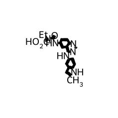 CCN(C(=O)O)C(=O)Nc1ccc2ncnc(Nc3ccc4[nH]c(C)cc4c3)c2c1